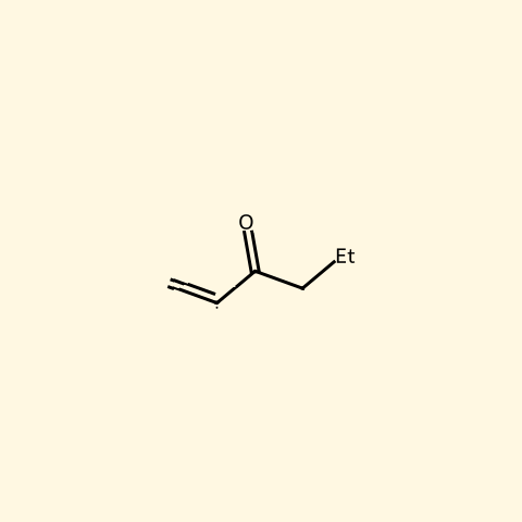 C=[C]C(=O)CCC